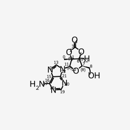 C[C@@]12OC(=O)O[C@@H]1[C@@H](CO)O[C@H]2n1cnc2c(N)ncnc21